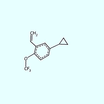 C=Cc1cc(C2CC2)ccc1OC(F)(F)F